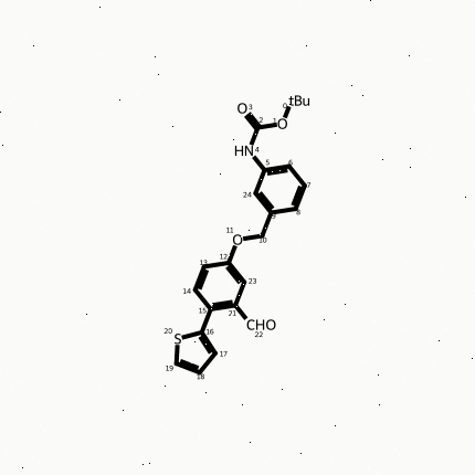 CC(C)(C)OC(=O)Nc1cccc(COc2ccc(-c3cccs3)c(C=O)c2)c1